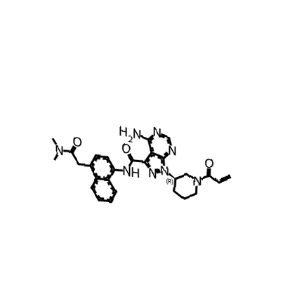 C=CC(=O)N1CCC[C@@H](n2nc(C(=O)Nc3ccc(CC(=O)N(C)C)c4ccccc34)c3c(N)ncnc32)C1